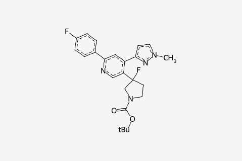 Cn1ccc(-c2cc(-c3ccc(F)cc3)ncc2C2(F)CCN(C(=O)OC(C)(C)C)C2)n1